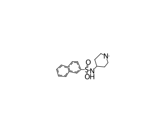 O=S(=O)(NC1CC[N]CC1)c1ccc2ccccc2c1